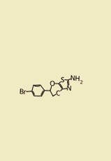 Nc1nc2c(s1)OC(c1ccc(Br)cc1)CC2